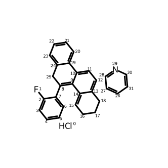 Cl.Fc1ccccc1C1=c2c(ccc3c2=CCCC3)-c2ccccc2C1.c1ccncc1